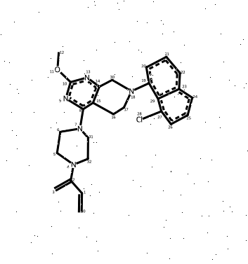 C=CC(=C)N1CCN(c2nc(OC)nc3c2CCN(c2cccc4cccc(Cl)c24)C3)CC1